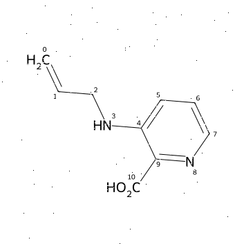 C=CCNc1cccnc1C(=O)O